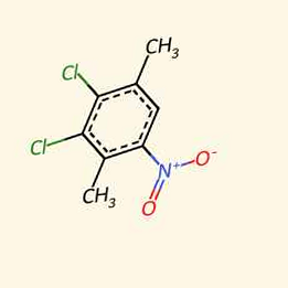 Cc1cc([N+](=O)[O-])c(C)c(Cl)c1Cl